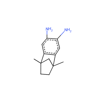 CC12CCC(C)(C1)c1cc(N)c(N)cc12